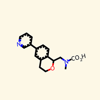 CN(CC1OCCc2cc(-c3cccnc3)ccc21)C(=O)O